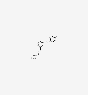 Cc1ccc(COc2cccc(CNCC3CNC3)c2)c(Br)c1